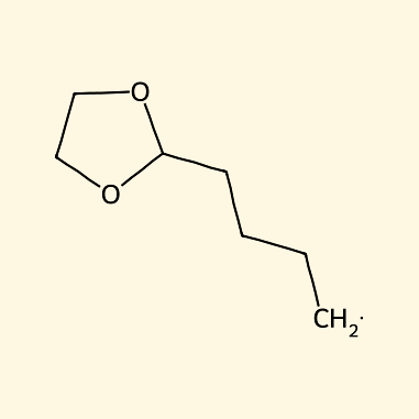 [CH2]CCCC1OCCO1